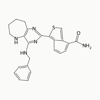 NC(=O)c1cccc2c(-c3nc4c(c(NCc5ccccc5)n3)NCCCC4)scc12